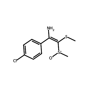 CSC(=C(N)c1ccc(Cl)cc1)[S+](C)[O-]